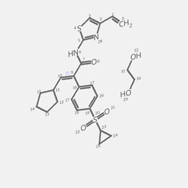 C=Cc1csc(NC(=O)/C(=C/C2CCCC2)c2ccc(S(=O)(=O)C3CC3)cc2)n1.OCCO